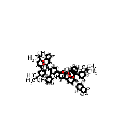 CC(C)(C)c1ccc(-c2cc(C(C)(C)C)ccc2N(c2ccc3c(c2)CCC3)c2ccc3c4cc5c(cc4n4c6ccccc6c2c34)c2ccc(N(c3ccc4c(c3)CCC4)c3ccc(C(C)(C)C)cc3-c3ccc(C(C)(C)C)cc3)c3c4ccccc4n5c23)cc1